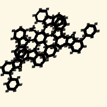 N#Cc1c(-n2c3c(c4ccccc42)C=CCC3)c(-n2c3ccccc3c3c4oc5c(-c6ccccc6)cccc5c4ccc32)c(-c2ccccc2)c(-n2c3ccccc3c3c4oc5c(-c6ccccc6)cccc5c4ccc32)c1-n1c2ccccc2c2ccccc21